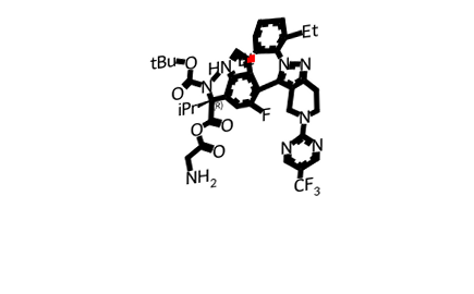 CCc1cccc(CC)c1-n1nc2c(c1-c1c(F)cc([C@@](C(=O)OC(=O)CN)(C(C)C)N(C)C(=O)OC(C)(C)C)c3[nH]ccc13)CN(c1ncc(C(F)(F)F)cn1)CC2